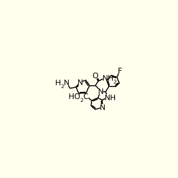 NCc1ccc(C(C(N)=O)N2c3c(C(=O)O)ccnc3NC2c2ccc(F)cc2)cn1